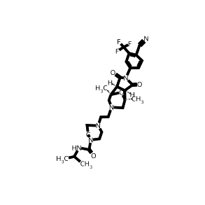 CC(C)NC(=O)N1CCN(CCN2C[C@@]3(C)O[C@@](C)(C2)[C@H]2C(=O)N(c4ccc(C#N)c(C(F)(F)F)c4)C(=O)[C@H]23)CC1